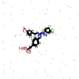 COc1ccc(CCN(Cc2ccc(C#CC(=O)O)cc2)c2nc3cc(Cl)ccc3s2)cc1